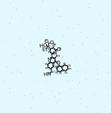 CCC1(O)C(=O)OCc2c1cc1n(c2=O)Cc2c-1nc1ccc(C=N)cc1c2Oc1cccc2ccccc12